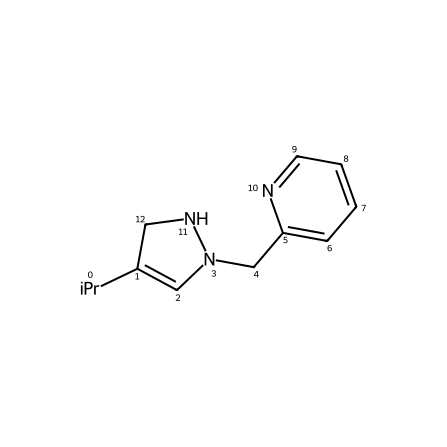 CC(C)C1=CN(Cc2ccccn2)NC1